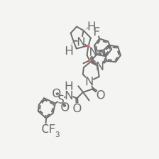 Cc1nc2ccccc2n1C1C[C@H]2CC[C@@H](C1)N2CCC1(c2cccc(F)c2)CCN(C(=O)C(C)(C)C(=O)NS(=O)(=O)c2cccc(C(F)(F)F)c2)CC1